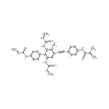 C=CC(=O)Oc1ccc(-c2c(OC(=O)C=C)cc(C#Cc3ccc(OC(=O)C(=C)C)cc3)c(C(F)(F)F)c2OC(=O)C=C)cc1